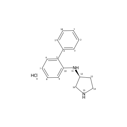 Cl.c1ccc(-c2ccccc2N[C@H]2CCNC2)cc1